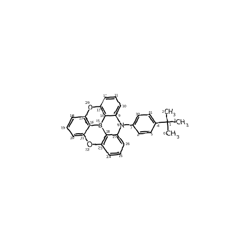 CC(C)(C)c1ccc(N2c3cccc4c3B3c5c(cccc5Oc5cccc2c53)O4)cc1